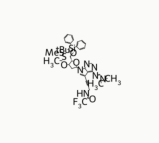 CSS[C@H](C)OC1C[C@H](n2cc(C#CCNC(=O)C(F)(F)F)c3c(/N=C/N(C)C)ncnc32)O[C@@H]1CO[Si](c1ccccc1)(c1ccccc1)C(C)(C)C